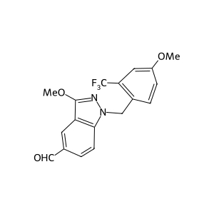 COc1ccc(Cn2nc(OC)c3cc(C=O)ccc32)c(C(F)(F)F)c1